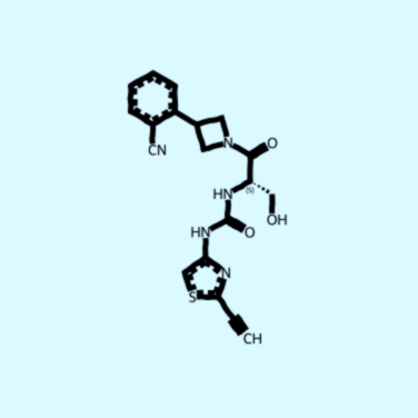 C#Cc1nc(NC(=O)N[C@@H](CO)C(=O)N2CC(c3ccccc3C#N)C2)cs1